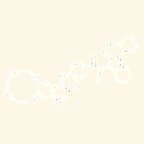 O=C(Nc1ccc(Oc2ncnc3cc4c(cc23)OCCOCCOCCO4)c(Cl)c1)c1c2n(n(-c3ccccc3F)c1=O)CCCC2